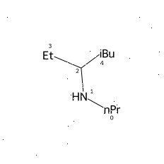 CCCNC(CC)C(C)CC